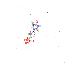 O=c1[nH]c(=S)n([C@H]2CC[C@@](F)(COP(=O)(O)O)O2)cc1F